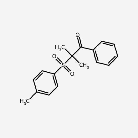 Cc1ccc(S(=O)(=O)C(C)(C)C(=O)c2ccccc2)cc1